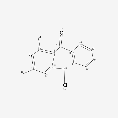 Cc1cc(C)c(C(=O)c2ccccc2)c(CCl)c1